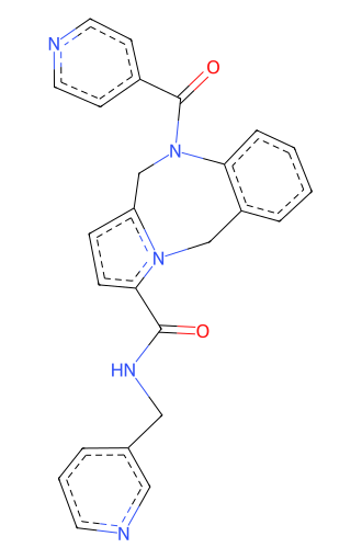 O=C(NCc1cccnc1)c1ccc2n1Cc1ccccc1N(C(=O)c1ccncc1)C2